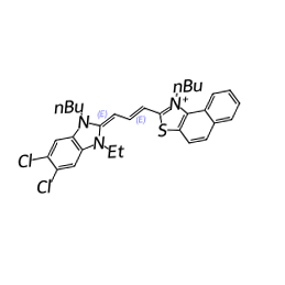 CCCCN1/C(=C/C=C/c2sc3ccc4ccccc4c3[n+]2CCCC)N(CC)c2cc(Cl)c(Cl)cc21